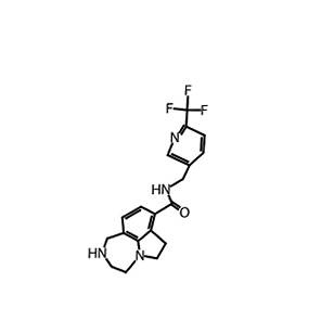 O=C(NCc1ccc(C(F)(F)F)nc1)c1ccc2c3c1CCN3CCNC2